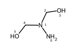 NN(CO)CO